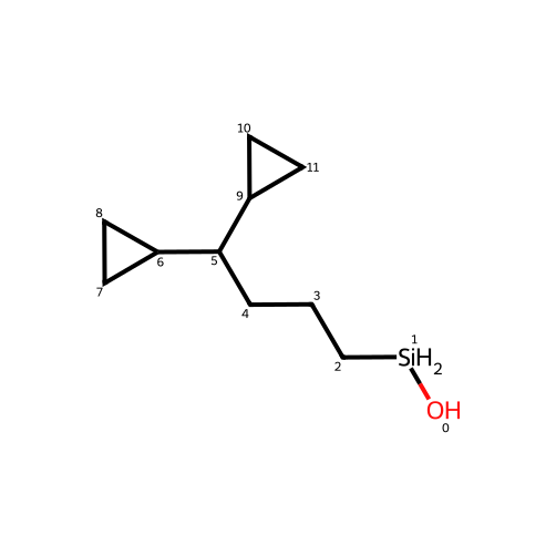 O[SiH2]CCCC(C1CC1)C1CC1